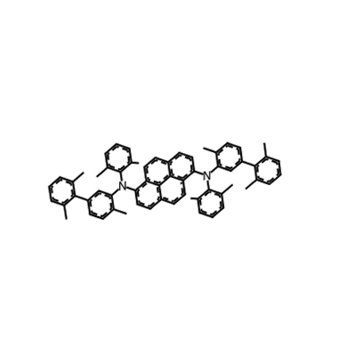 Cc1ccc(-c2c(C)cccc2C)cc1N(c1c(C)cccc1C)c1ccc2ccc3c(N(c4cc(-c5c(C)cccc5C)ccc4C)c4c(C)cccc4C)ccc4ccc1c2c43